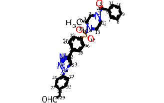 C[C@@H]1CN(C(=O)c2ccccc2)CCN1S(=O)(=O)c1ccc(-c2cn(-c3ccc(CC=O)cc3)nn2)cc1